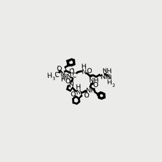 CC(=O)N[C@@H](Cc1ccccc1)C(=O)N[C@H]1CCCNC(=O)C(CCCNC(=N)N)NC(=O)C(CCc2ccccc2)NC(=O)[C@@H](CC2CCCCC2)NC(=O)C2CCCN2C1=O